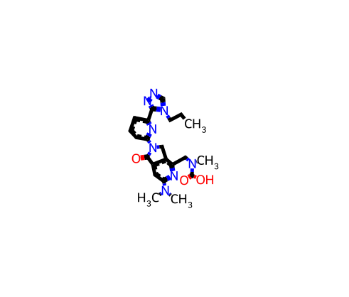 CCCn1cnnc1-c1cccc(N2Cc3c(cc(N(C)C)nc3CN(C)C(=O)O)C2=O)n1